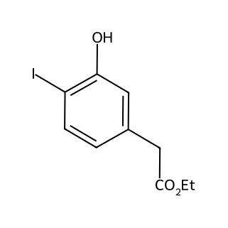 CCOC(=O)Cc1ccc(I)c(O)c1